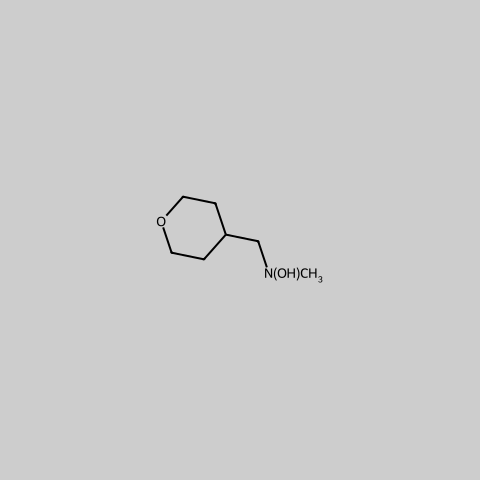 CN(O)CC1CCOCC1